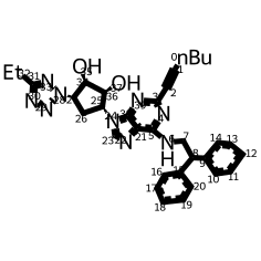 CCCCC#Cc1nc(NCC(c2ccccc2)c2ccccc2)c2ncn([C@@H]3C[C@H](n4nnc(CC)n4)[C@@H](O)[C@H]3O)c2n1